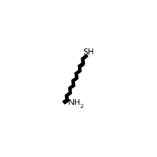 C=C(N)CCCCCCCC/C=C/CCS